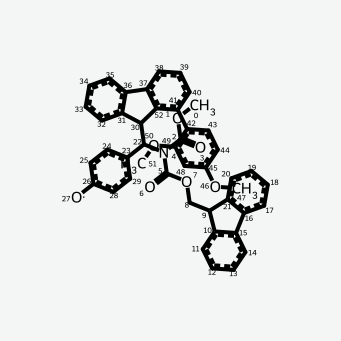 COC(=O)N(C(=O)OCC1c2ccccc2-c2ccccc21)C(c1ccc([O])cc1)C1c2ccccc2-c2cccc(-c3ccc(OC)cc3OC)c21